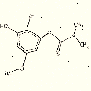 COc1cc(O)c(Br)c(OC(=S)N(C)C)c1